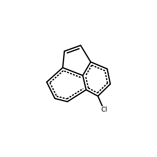 Clc1ccc2c3c(cccc13)C=C2